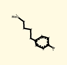 [CH2]OCCCCc1ccc(Br)cc1